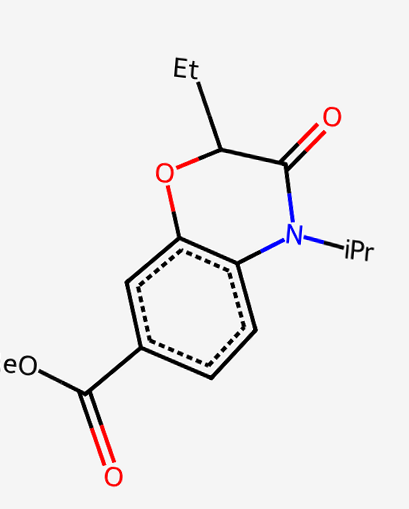 CCC1Oc2cc(C(=O)OC)ccc2N(C(C)C)C1=O